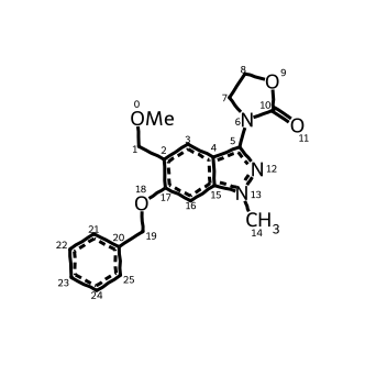 COCc1cc2c(N3CCOC3=O)nn(C)c2cc1OCc1ccccc1